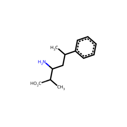 CC(CC(N)C(C)C(=O)O)c1ccccc1